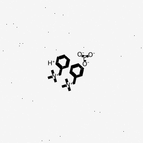 C[N+](C)(C)Cc1ccccc1.C[N+](C)(C)Cc1ccccc1.[H+].[O-]P([O-])[O-]